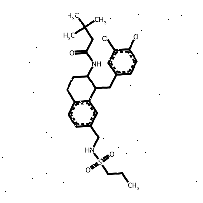 CCCS(=O)(=O)NCc1ccc2c(c1)C(Cc1ccc(Cl)c(Cl)c1)C(NC(=O)CC(C)(C)C)CC2